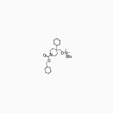 CC(C)(C)[Si](C)(C)OCC1(c2ccccc2)CCN(C(=O)OCc2ccccc2)CC1